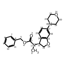 CN(C(=O)OCc1ccccc1)[C@@H]1COc2cc(N3CCOCC3)ccc21